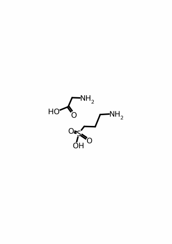 NCC(=O)O.NCCCS(=O)(=O)O